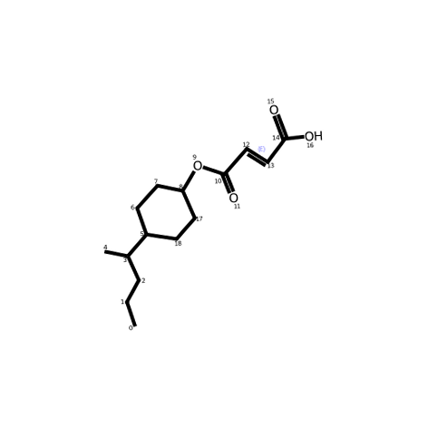 CCCC(C)C1CCC(OC(=O)/C=C/C(=O)O)CC1